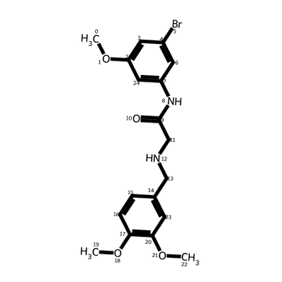 COc1cc(Br)cc(NC(=O)CNCc2ccc(OC)c(OC)c2)c1